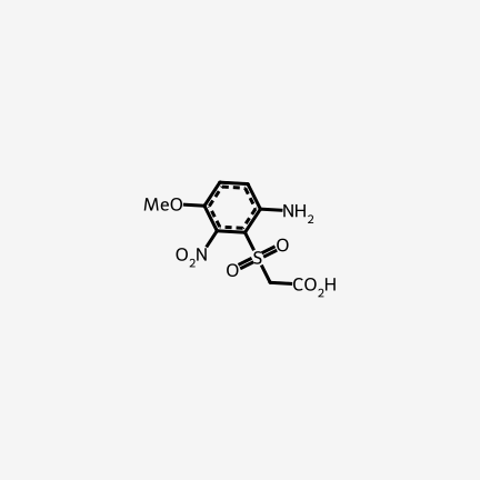 COc1ccc(N)c(S(=O)(=O)CC(=O)O)c1[N+](=O)[O-]